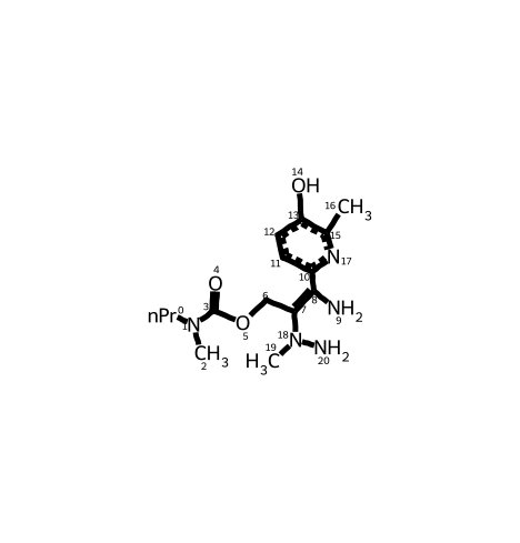 CCCN(C)C(=O)OC/C(=C(/N)c1ccc(O)c(C)n1)N(C)N